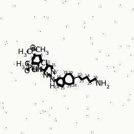 CP(C)(=O)c1ccc(Nc2nc(Nc3ccc4c(c3)CC[C@@H](CCCCCN)CC4)ncc2Cl)c(P(C)(C)=O)c1